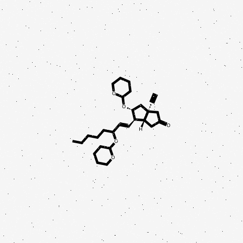 C#C[C@]12CC(=O)C[C@@H]1[C@@H](C=CC(CCCCC)OC1CCCCO1)[C@H](OC1CCCCO1)C2